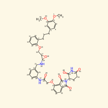 COc1ccc(CCCc2ccccc2OCC2OC2NCc2cccc(NC(=O)COc3cccc4c3C(=O)N(C3CCC(=O)NC3=O)C4=O)c2)cc1OC